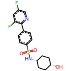 O=S(=O)(N[C@H]1CC[C@@H](O)CC1)c1ccc(-c2ncc(F)cc2F)cc1